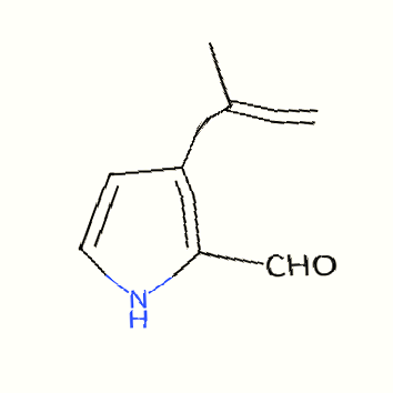 C=C(C)c1cc[nH]c1C=O